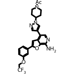 CC(=O)N1CCC(n2cc(-c3cnc(N)c4oc(-c5cccc(OCC(F)(F)F)c5)cc34)cn2)CC1